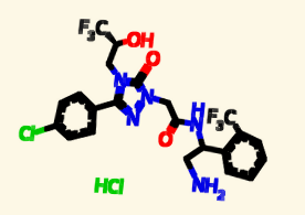 Cl.NCC(NC(=O)Cn1nc(-c2ccc(Cl)cc2)n(C[C@H](O)C(F)(F)F)c1=O)c1ccccc1C(F)(F)F